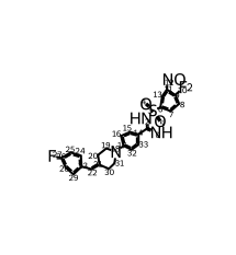 N=C(NS(=O)(=O)c1ccc(F)c([N+](=O)[O-])c1)c1ccc(N2CCC(=Cc3ccc(F)cc3)CC2)cc1